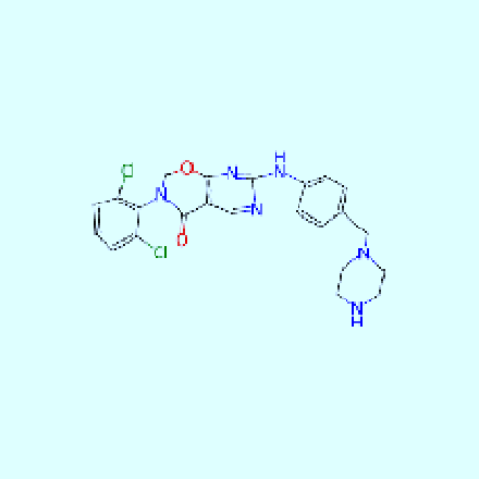 O=C1c2cnc(Nc3ccc(CN4CCNCC4)cc3)nc2OCN1c1c(Cl)cccc1Cl